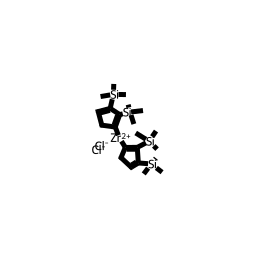 C[Si](C)(C)C1=CC[C]([Zr+2][C]2=C([Si](C)(C)C)C([Si](C)(C)C)=CC2)=C1[Si](C)(C)C.[Cl-].[Cl-]